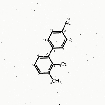 CCc1c(C)cccc1-c1ccc(C(C)=O)cc1